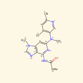 CCc1cc(C#N)ncc1N(C)c1cc2c(ncn2C)c(NC(=O)OC)n1